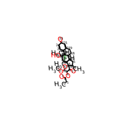 CCC(=O)OCC(=O)[C@@]1(OCOC)[C@@H](C)C[C@H]2[C@@H]3CCC4=CC(=O)C=C[C@]4(C)[C@@]3(F)[C@@H](O)C[C@@]21C